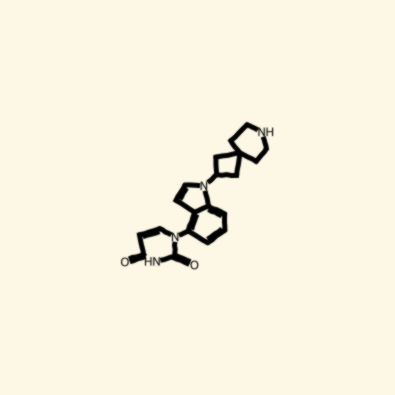 O=c1ccn(-c2cccc3c2ccn3C2CC3(CCNCC3)C2)c(=O)[nH]1